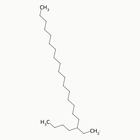 [CH2]CC(CCCC)CCCCCCCCCCCCCCCCC